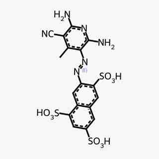 Cc1c(C#N)c(N)nc(N)c1/N=N/c1cc2c(S(=O)(=O)O)cc(S(=O)(=O)O)cc2cc1S(=O)(=O)O